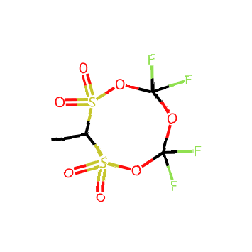 CC1S(=O)(=O)OC(F)(F)OC(F)(F)OS1(=O)=O